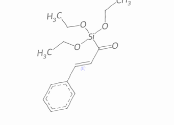 CCO[Si](OCC)(OCC)C(=O)/C=C/c1ccccc1